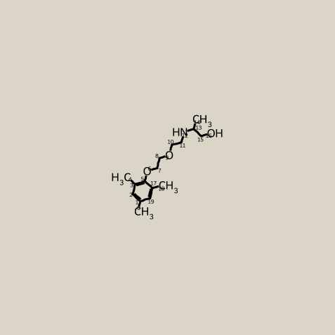 Cc1cc(C)c(OCCOCCNC(C)CO)c(C)c1